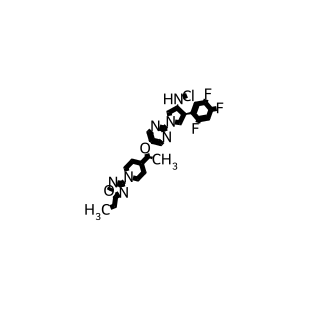 CCc1nc(N2CCC([C@H](C)Oc3cnc(N4C[C@H](NCl)[C@@H](C5=CC(F)C(F)C=C5F)C4)nc3)CC2)no1